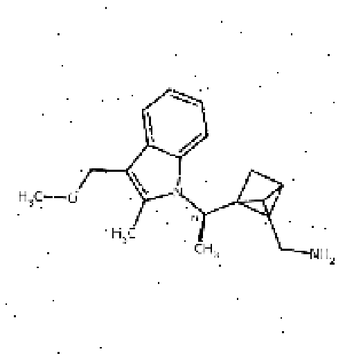 COCc1c(C)n([C@H](C)C23CC(C2)C3CN)c2ccccc12